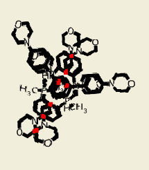 C[PH](C[PH](C)(c1ccc(N2CCOCC2)cc1)c1ccc(N2CCOCC23COCCN3c2ccc([PH](C)(C[PH](C)(c3ccc(N4CCOCC4)cc3)c3ccc(N4CCOCC4)cc3)c3ccc(N4CCOCC4)cc3)cc2)cc1)(c1ccc(N2CCOCC2)cc1)c1ccc(N2CCOCC2)cc1